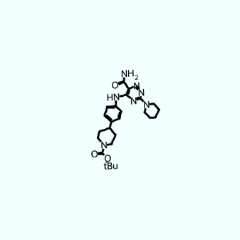 CC(C)(C)OC(=O)N1CCC(c2ccc(Nc3nc(N4CCCCC4)nnc3C(N)=O)cc2)CC1